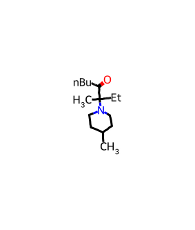 CCCCC(=O)C(C)(CC)N1CCC(C)CC1